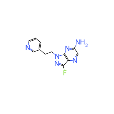 Nc1cnc2c(F)nn(CCc3cccnc3)c2n1